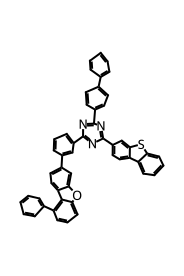 c1ccc(-c2ccc(-c3nc(-c4cccc(-c5ccc6c(c5)oc5cccc(-c7ccccc7)c56)c4)nc(-c4ccc5c(c4)sc4ccccc45)n3)cc2)cc1